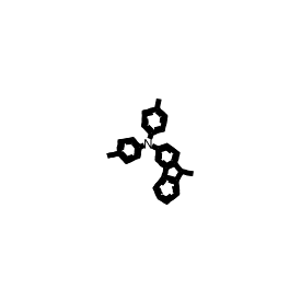 Cc1ccc(N(c2ccc(C)cc2)c2ccc3c(c2)-c2ccccc2C3C)cc1